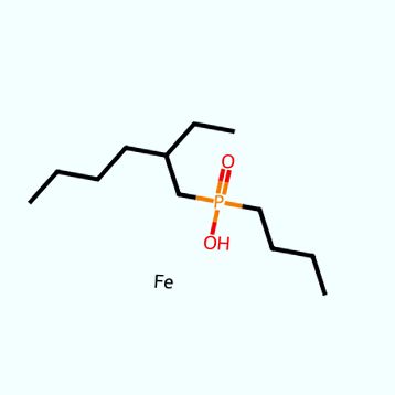 CCCCC(CC)CP(=O)(O)CCCC.[Fe]